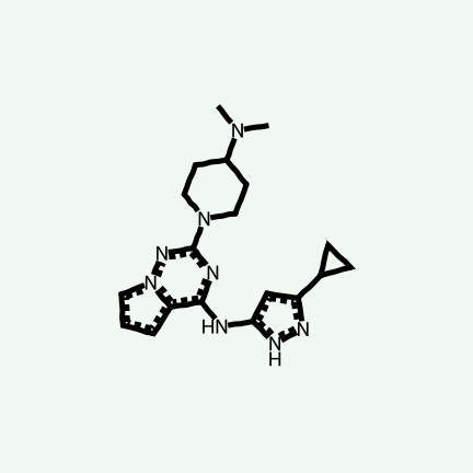 CN(C)C1CCN(c2nc(Nc3cc(C4CC4)n[nH]3)c3cccn3n2)CC1